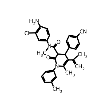 C=C(C)C1=C(C)N(c2cccc(C)c2)C(=O)C(C(=O)N(C)c2ccc(N)c(Cl)c2)C1c1ccc(C#N)cc1